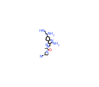 CC(C(=O)N1CC[C@H](C#N)C1)n1cc2c(N)nc3cc(/C(N)=C/C=N)ccc3c2n1